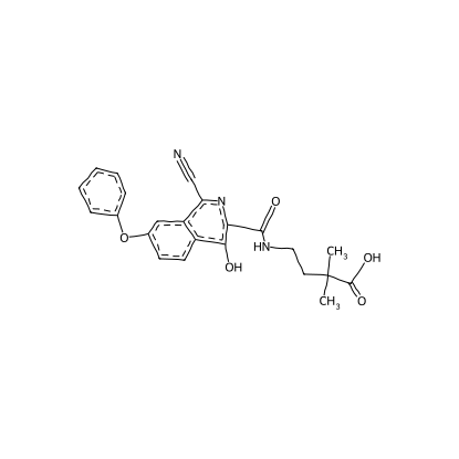 CC(C)(CCNC(=O)c1nc(C#N)c2cc(Oc3ccccc3)ccc2c1O)C(=O)O